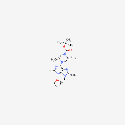 Cc1nc2c(N3C[C@@H](C)N(C(=O)OC(C)(C)C)C[C@@H]3C)nc(Cl)nc2n1C[C@@H]1CCCO1